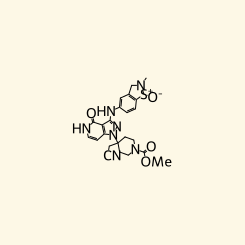 COC(=O)N1CCC(CC#N)(n2nc(Nc3ccc4c(c3)CN(C)[S+]4[O-])c3c(=O)[nH]ccc32)CC1